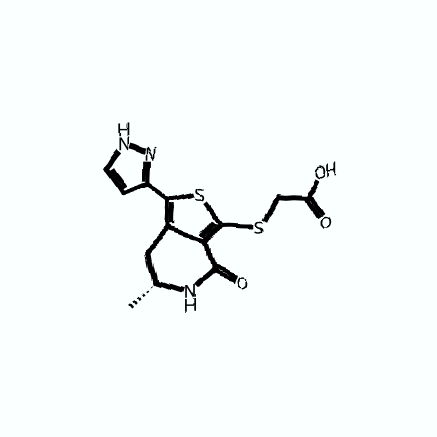 C[C@@H]1Cc2c(-c3cc[nH]n3)sc(SCC(=O)O)c2C(=O)N1